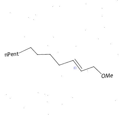 [CH2]OC/C=C/CCCCCCCCC